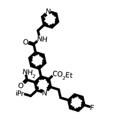 CCOC(=O)c1c(CCc2ccc(F)cc2)nc(CC(C)C)c(C(N)=O)c1-c1ccc(C(=O)NCc2cccnc2)cc1